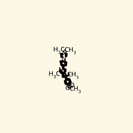 Cc1nc(-c2ccc(N3CCN(C(C)C)CC3)cc2)cc2c1cc(-c1ccc(S(C)(=O)=O)cc1)n2C